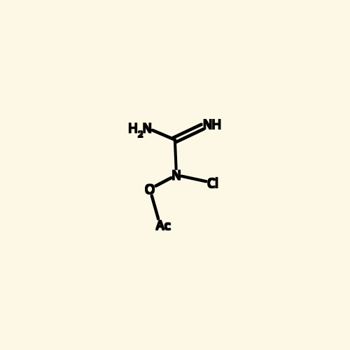 CC(=O)ON(Cl)C(=N)N